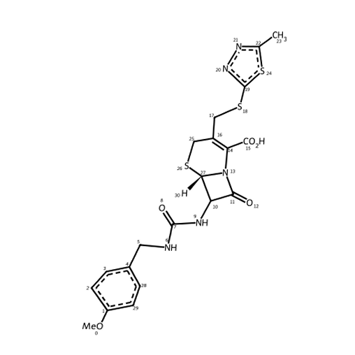 COc1ccc(CNC(=O)NC2C(=O)N3C(C(=O)O)=C(CSc4nnc(C)s4)CS[C@@H]23)cc1